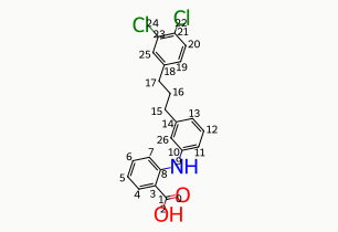 O=C(O)c1ccccc1Nc1cccc(CCCc2ccc(Cl)c(Cl)c2)c1